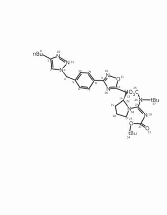 CCCCc1cn(Cc2ccc(-c3noc(C[C@@H]4CCCN4C(=NC(=O)OC(C)(C)C)N(C(=O)O)C(C)(C)C)n3)cc2)nn1